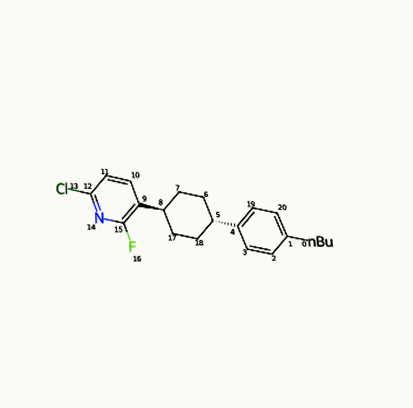 CCCCc1ccc([C@H]2CC[C@H](c3ccc(Cl)nc3F)CC2)cc1